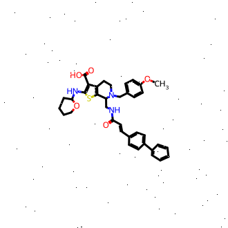 COc1ccc(CN2CCc3c(sc(NC4CCCCO4)c3C(=O)O)C2CNC(=O)C=Cc2ccc(-c3ccccc3)cc2)cc1